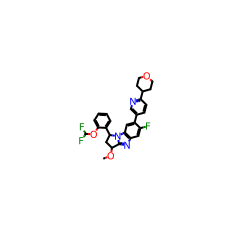 COC1CC(c2ccccc2OC(F)F)n2c1nc1cc(F)c(-c3ccc(C4CCOCC4)nc3)cc12